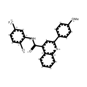 COc1ccc(-c2cc(C(=O)Nc3cc(C(F)(F)F)ccc3Cl)c3ccccc3n2)cc1